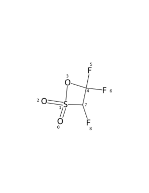 O=S1(=O)OC(F)(F)C1F